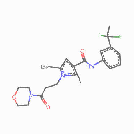 Cc1c(C(=O)Nc2cccc(C(C)(F)F)c2)cc(C(C)(C)C)n1CCC(=O)N1CCOCC1